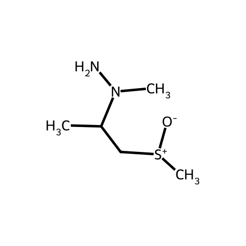 CC(C[S+](C)[O-])N(C)N